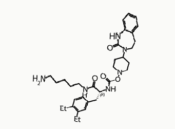 CCc1ccc(C[C@@H](NC(=O)ON2CCC(N3CCc4ccccc4NC3=O)CC2)C(=O)NCCCCCN)cc1CC